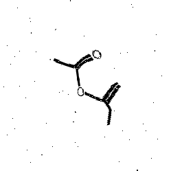 [CH2]C(=O)OC(=C)C